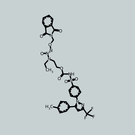 CCN(CCOC(=O)NS(=O)(=O)c1ccc(-n2nc(C(F)(F)F)cc2-c2ccc(C)cc2)cc1)[N+]([O-])=NOCN1C(=O)c2ccccc2C1=O